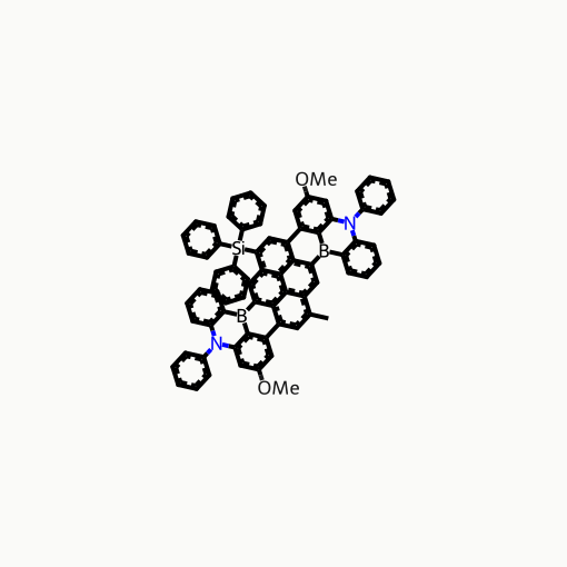 COc1cc2c3c(c1)N(c1ccccc1)c1ccccc1B3c1cc3c([Si](c4ccccc4)(c4ccccc4)c4ccccc4)cc4c5c(cc6c(C)cc-2c1c6c35)B1c2ccccc2N(c2ccccc2)c2cc(OC)cc-4c21